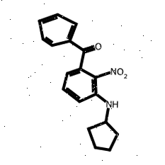 O=C(c1ccccc1)c1cccc(NC2CCCC2)c1[N+](=O)[O-]